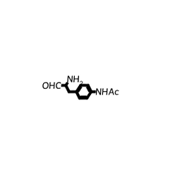 CC(=O)Nc1ccc(CC(N)C=O)cc1